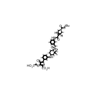 CC(C)(C)OC(=O)N1C[C@@H]2C(C(=O)Nc3cccc(CS(=O)(=O)N4CC[C@H](Nc5cccc(-c6sc(C(=O)O)c(OCC(=O)O)c6Cl)c5)CC4(C)C)c3)[C@@H]2C1